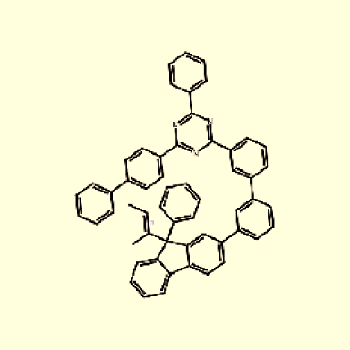 C/C=C(\C)C1(c2ccccc2)c2ccccc2-c2ccc(-c3cccc(-c4cccc(-c5nc(-c6ccccc6)nc(-c6ccc(-c7ccccc7)cc6)n5)c4)c3)cc21